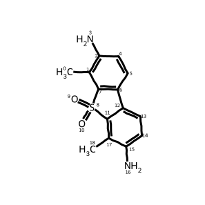 Cc1c(N)ccc2c1S(=O)(=O)c1c-2ccc(N)c1C